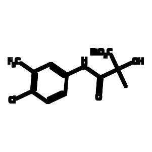 CCOC(=O)C(C)(O)C(=O)Nc1ccc(Cl)c(C(F)(F)F)c1